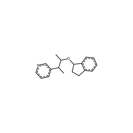 CC(OC1CCc2ccccc21)C(C)c1cccnc1